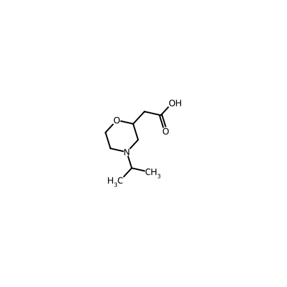 CC(C)N1CCOC(CC(=O)O)C1